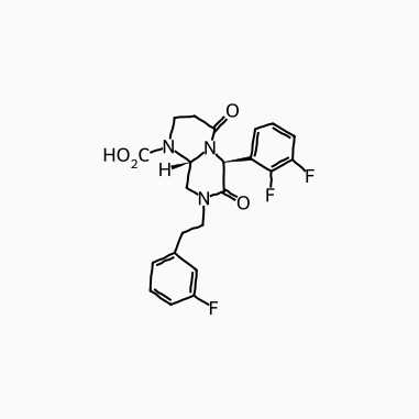 O=C1[C@H](c2cccc(F)c2F)N2C(=O)CCN(C(=O)O)[C@H]2CN1CCc1cccc(F)c1